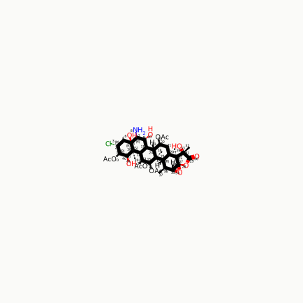 CC(=O)O[C@H]1[C@H](Cl)C[C@]2(O)[C@H](N)[C@H](O)C3C([C@H](OC(C)=O)[C@H](OC(C)=O)[C@]4(C)[C@@H]5C(C[C@H](OC(C)=O)[C@@H]34)[C@]3(C)[C@]4(OC(=O)[C@@]3(C)O)O[C@@H]4[C@H]5C)[C@@]2(C)[C@H]1O